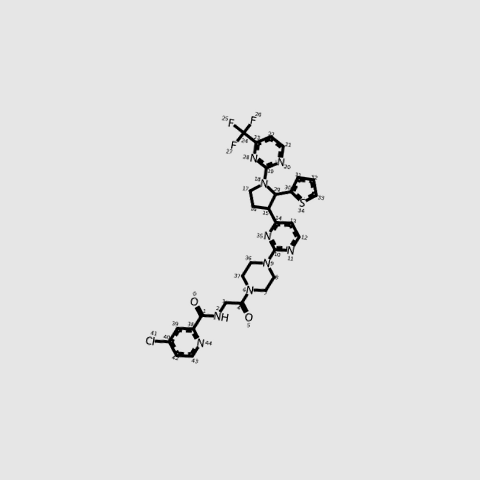 O=C(NCC(=O)N1CCN(c2nccc(C3CCN(c4nccc(C(F)(F)F)n4)C3c3cccs3)n2)CC1)c1cc(Cl)ccn1